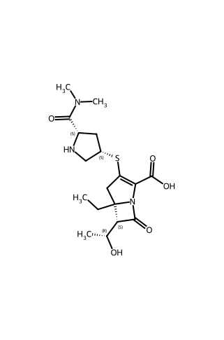 CCC12CC(S[C@@H]3CN[C@H](C(=O)N(C)C)C3)=C(C(=O)O)N1C(=O)[C@@H]2[C@@H](C)O